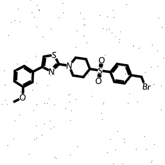 COc1cccc(-c2csc(N3CCC(S(=O)(=O)c4ccc(CBr)cc4)CC3)n2)c1